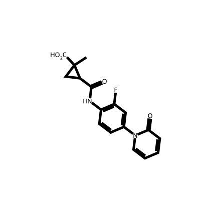 CC1(C(=O)O)CC1C(=O)Nc1ccc(-n2ccccc2=O)cc1F